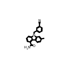 Cc1c[c]c2c3c(C(N)=O)cccc3n(Cc3cccc(C#N)c3)c2c1